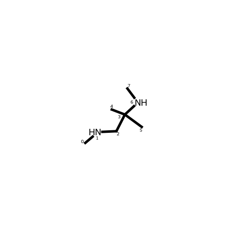 CNCC(C)(C)NC